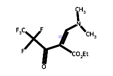 CCOC(=O)/C(=C\N(C)C)C(=O)C(F)(F)C(F)(F)F